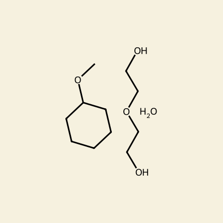 COC1CCCCC1.O.OCCOCCO